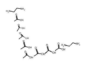 CC(=O)O.CC(=O)O.CC(=O)O.CC(=O)O.CC(=O)O.CC(=O)O.CC(=O)O.CC(=O)O.NCCN.NCCN